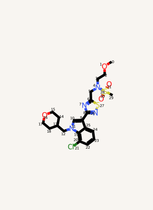 COCCN(Cc1nc(-c2cn(CC3CCOCC3)c3c(Cl)cccc23)ns1)S(C)(=O)=O